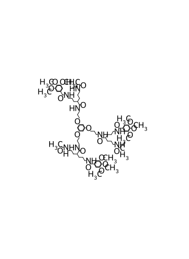 COc1cc(C(=O)NCCCC(CCCNC(C)=O)C(=O)NCCCOc2cc(OCCCNC(=O)C(CCCNC(C)=O)CCCNC(=O)c3cc(OC)c(OC)c(OC)c3)cc(OCCCNC(=O)C(CCCNC(C)=O)CCCNC(=O)c3cc(OC)c(OC)c(OC)c3)c2)cc(OC)c1OC